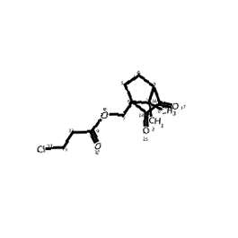 CC1(C)C2CCC1(COC(=O)CCCl)C(=O)C2=O